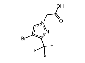 O=C(O)Cn1cc(Br)c(C(F)(F)F)n1